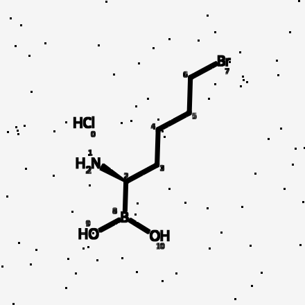 Cl.N[C@@H](CCCCBr)B(O)O